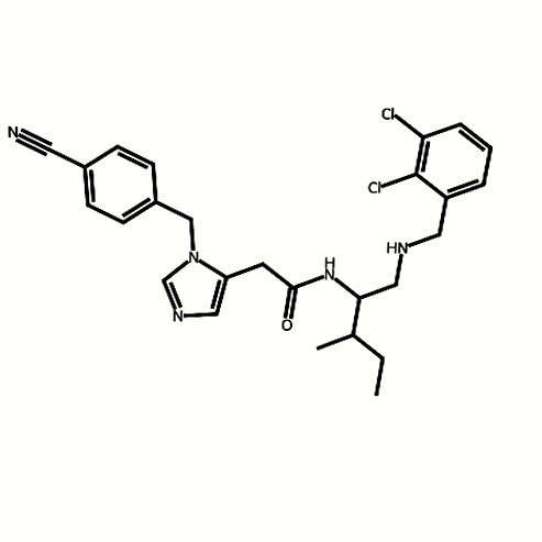 CCC(C)C(CNCc1cccc(Cl)c1Cl)NC(=O)Cc1cncn1Cc1ccc(C#N)cc1